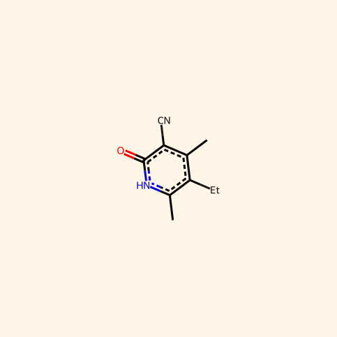 CCc1c(C)[nH]c(=O)c(C#N)c1C